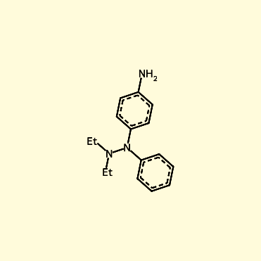 CCN(CC)N(c1ccccc1)c1ccc(N)cc1